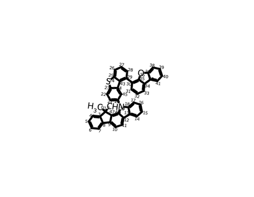 CC1(C)c2ccccc2-c2ccc3c4ccccc4n(-c4ccc5sc6cccc(-c7cccc8c7oc7ccccc78)c6c5c4)c3c21